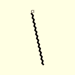 CCCCCCCCCCCCCCCCCCCCCCCCCCCl